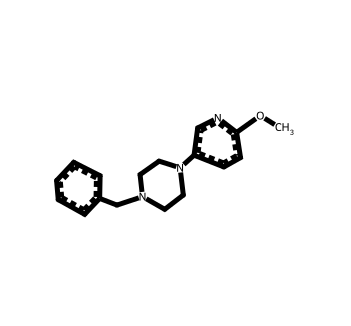 COc1ccc(N2CCN(Cc3ccccc3)CC2)cn1